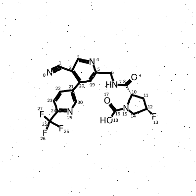 N#Cc1cnc(CNC(=O)[C@@H]2C[C@@H](F)CN2C(=O)O)cc1-c1ccc(C(F)(F)F)nc1